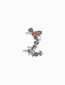 Cc1ncsc1-c1ccc([C@H](C)NC(=O)[C@@H]2C[C@@H](O)CN2C(=O)[C@@H](c2cc(N3CCN(C(=O)C4CC(Oc5cc(N6C7CC[C@@H]6CN(c6cc(-c8ccccc8O)nnc6N)C7)ccn5)C4)CC3)no2)C(C)C)cc1